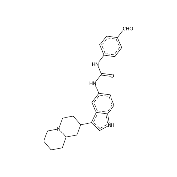 O=Cc1ccc(NC(=O)Nc2ccc3[nH]cc(C4CCN5CCCCC5C4)c3c2)cc1